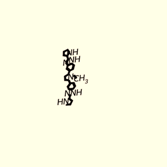 CCN1C(c2ccc3[nH]c(C4CCCN4)nc3c2)CCC1c1ccc2[nH]c(C3CCCN3)nc2c1